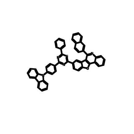 c1ccc(-c2nc(-c3ccc(-n4c5ccccc5c5ccccc54)cc3)nc(-c3ccc4oc5c6ccccc6nc(-c6ccc7ccccc7c6)c5c4c3)n2)cc1